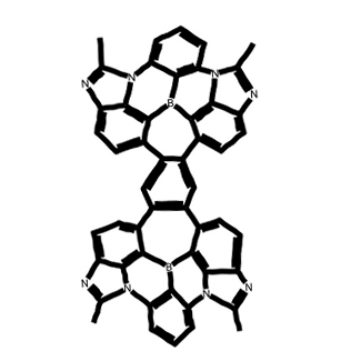 Cc1nc2ccc3c4c2n1-c1cccc2c1B4c1c(ccc4nc(C)n-2c14)-c1cc2c(cc1-3)-c1ccc3nc(C)n4c3c1B1c3c-4cccc3-n3c(C)nc4ccc-2c1c43